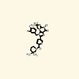 CCN1C(=O)c2nc(-c3ccc(C(=O)N4CCCC(C)(C)C4)nc3)n(Cc3ccc(F)c(F)c3)c2N2CC(C)(C)N=C12